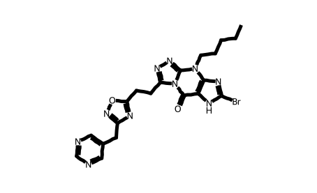 CCCCCn1c2nc(Br)[nH]c2c(=O)n2c(CCc3nc(Cc4cncnc4)no3)nnc12